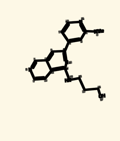 CNc1cc(-c2cc3cnccc3c(NCCCO)n2)ccn1